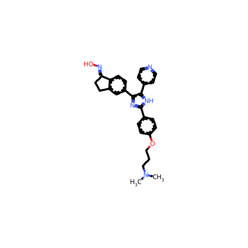 CN(C)CCCOc1ccc(-c2nc(-c3ccc4c(c3)CC/C4=N\O)c(-c3ccncc3)[nH]2)cc1